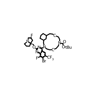 CC(C)(C)OC(=O)N1CCCCCC2CCCC(C2)CN(c2nc(OC[C@@]34CCCN3C[C@H](F)C4)nc3c(F)c(Br)c(C(F)(F)F)cc23)CCCCC1